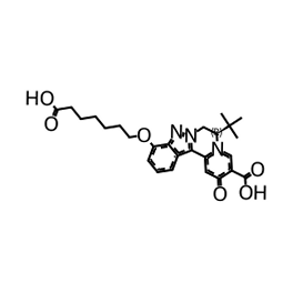 CC(C)(C)[C@@H]1Cn2nc3c(OCCCCCCC(=O)O)cccc3c2-c2cc(=O)c(C(=O)O)cn21